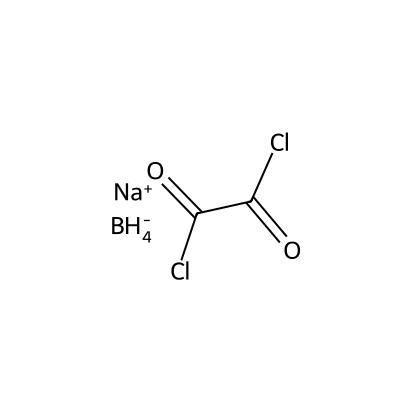 O=C(Cl)C(=O)Cl.[BH4-].[Na+]